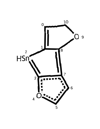 C1=[C]2[SnH]=[c]3occc3=C2OC1